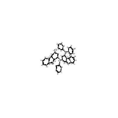 Clc1cc(N(c2ccccc2)c2cc(N(c3ccccc3)c3ccccc3)c3c(c2)sc2ccccc23)c2sc3ccccc3c2c1